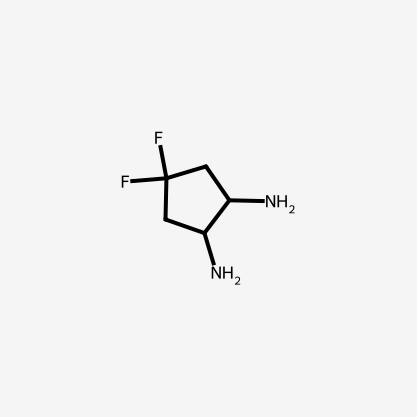 NC1CC(F)(F)CC1N